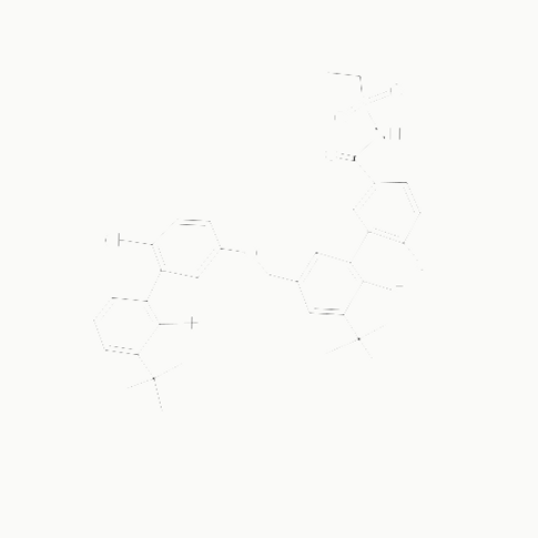 CCS(=O)(=O)NC(=O)c1ccc(Cl)c(-c2cc(COc3ccc(Cl)c(-c4cccc(C(C)(C)C)c4F)c3)cc(C(C)(C)C)c2F)c1